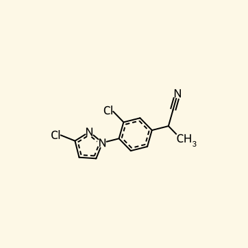 CC(C#N)c1ccc(-n2ccc(Cl)n2)c(Cl)c1